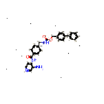 Nc1cnccc1NC(=O)c1ccc(CNC(=O)OCc2ccc(-c3ccccc3)cc2)cc1